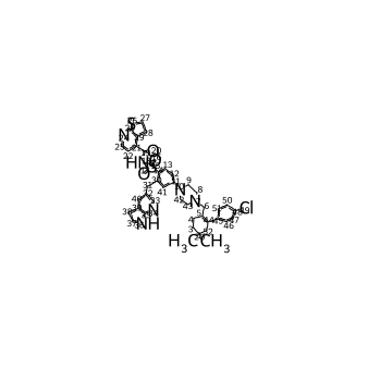 CC1(C)CCC(CN2CCN(c3ccc(S(=O)(=O)NC(=O)c4ccnc5sccc45)c(Cc4cnc5[nH]ccc5c4)c3)CC2)=C(c2ccc(Cl)cc2)C1